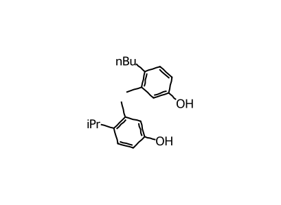 CCCCc1ccc(O)cc1C.Cc1cc(O)ccc1C(C)C